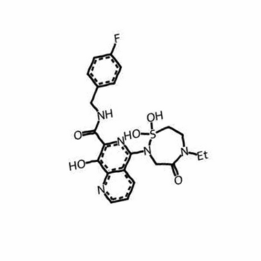 CCN1CCS(O)(O)N(c2nc(C(=O)NCc3ccc(F)cc3)c(O)c3ncccc23)CC1=O